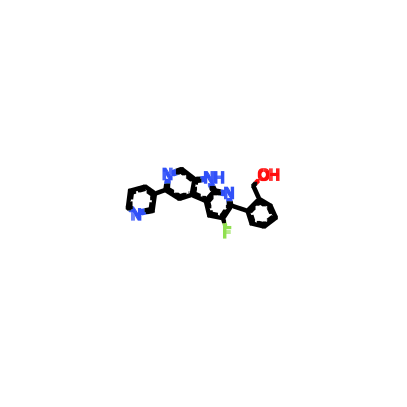 OCc1ccccc1-c1nc2[nH]c3cnc(-c4cccnc4)cc3c2cc1F